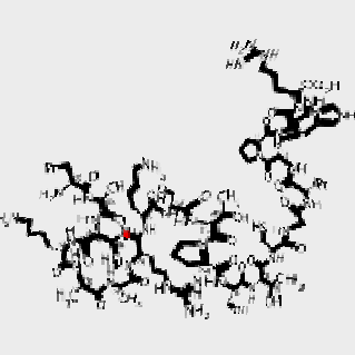 CC(C)C[C@H](N)C(=O)N[C@@H](C)C(=O)N[C@H](C(=O)N[C@@H](CCCCN)C(=O)N[C@@H](C)C(=O)N[C@@H](C)C(=O)N[C@@H](CCCNC(=N)N)C(=O)N[C@@H](CCCCN)C(=O)N[C@@H](CO)C(=O)N[C@H](C(=O)N1CCC[C@H]1C(=O)N[C@@H](CO)C(=O)N[C@H](C(=O)N[C@@H](CS)C(=O)NCC(=O)N[C@H](C(=O)N[C@@H](CCCCN)C(=O)N1CCC[C@H]1C(=O)N[C@@H](Cc1c[nH]cn1)C(=O)N[C@@H](CCCNC(=N)N)C(=O)O)C(C)C)[C@@H](C)O)[C@@H](C)O)[C@@H](C)O